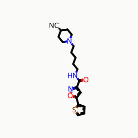 N#CC1CCN(CCCCCNC(=O)c2cc(-c3cccs3)on2)CC1